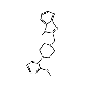 COc1ccccc1N1CCN(Cc2nc3ccccc3n2C)CC1